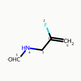 C=C(F)CN[C]=O